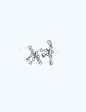 Cc1cc2c3c(c1)-n1c4ccc(C56CCC7CC(CC7C5)C6)cc4c4cc(C56CC7CC(CC(C7)C5)C6)cc(c41)B3N(c1ccc(-c3ccc(Cc4cc5c6c(c4)-n4c7ccc(C89CC(C)CC(CC(C)C8)C9)cc7c7cc(C89CC%10CC(CC(C%10)C8)C9)cc(c74)B6N(c4ccc(-c6ccccc6)cc4)c4c-5ccc5c4oc4cc6ccccc6cc45)cc3)cc1)c1cc3c(cc1-2)oc1cc2ccccc2cc13